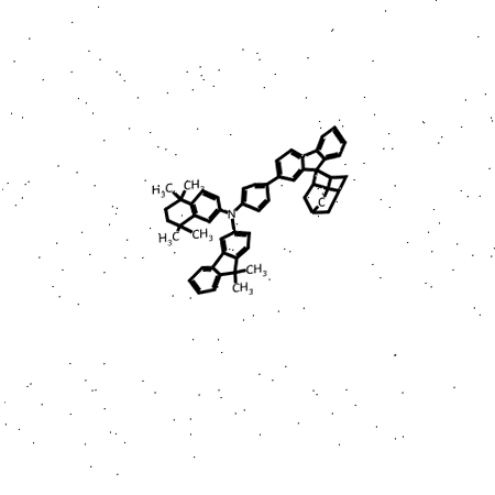 CC1(C)CCC(C)(C)c2cc(N(c3ccc(-c4ccc5c(c4)C4(c6ccccc6-5)C5CC6CC7CC4C75C6)cc3)c3ccc4c(c3)-c3ccccc3C4(C)C)ccc21